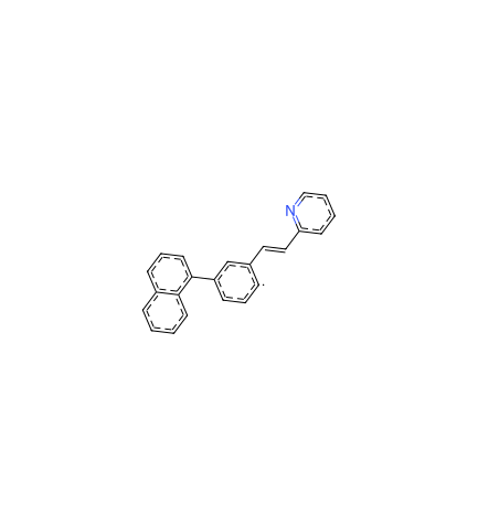 [c]1ccc(-c2cccc3ccccc23)cc1C=Cc1ccccn1